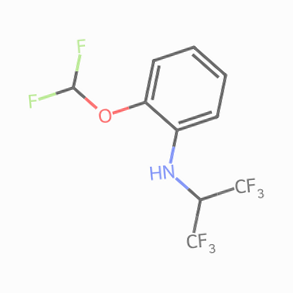 FC(F)Oc1ccccc1NC(C(F)(F)F)C(F)(F)F